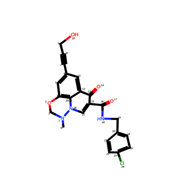 CN1COc2cc(C#CCO)cc3c(=O)c(C(=O)NCc4ccc(Cl)cc4)cn1c23